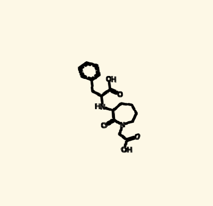 O=C(O)CN1CCCC[C@H](NC(Cc2ccccc2)C(=O)O)C1=O